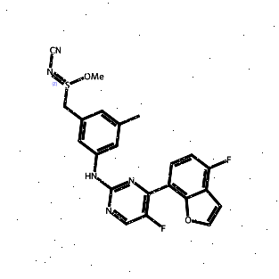 CO/S(Cc1cc(C)cc(Nc2ncc(F)c(-c3ccc(F)c4ccoc34)n2)c1)=N\C#N